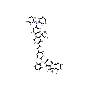 CC1(C)C2=C(CCC(/C=C/c3ccc(N(c4ccccc4)c4ccc5c(c4)C(C)(C)c4ccccc4-5)cc3)=C2)c2ccc(N(c3ccccc3)c3ccccc3)cc21